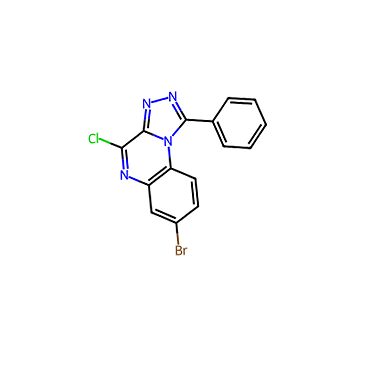 Clc1nc2cc(Br)ccc2n2c(-c3ccccc3)nnc12